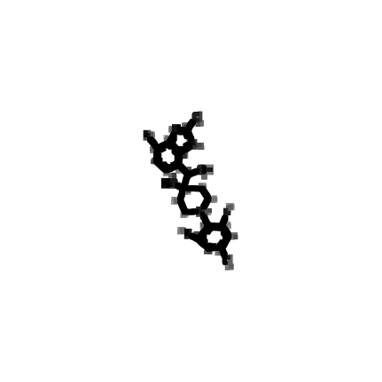 OC(c1ccc(F)c2nc(Cl)sc12)C1(O)CCN(c2c(F)cc(Cl)cc2F)CC1